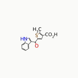 Cc1sc(C(=O)c2c[nH]c3ccccc23)cc1C(=O)O